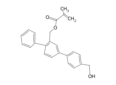 C=C(C)C(=O)OCc1cc(-c2ccc(CO)cc2)ccc1-c1ccccc1